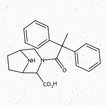 CC(C(=O)N1CC2CCC(N2)C1C(=O)O)(c1ccccc1)c1ccccc1